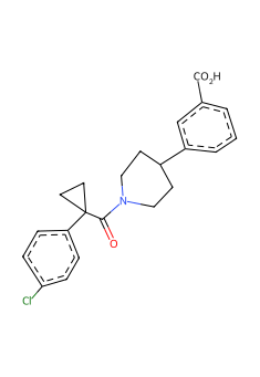 O=C(O)c1cccc(C2CCN(C(=O)C3(c4ccc(Cl)cc4)CC3)CC2)c1